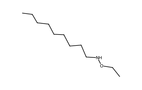 CCCCCCCCCNOCC